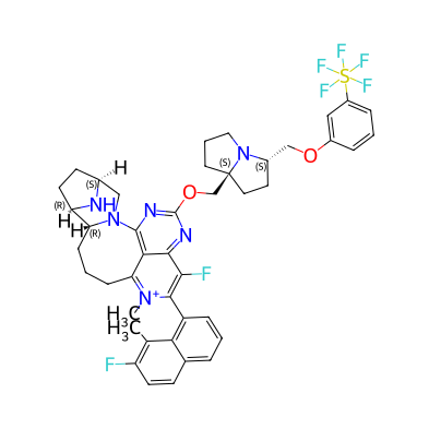 Cc1c(F)ccc2cccc(-c3c(F)c4nc(OC[C@@]56CCCN5[C@H](COc5cccc(S(F)(F)(F)(F)F)c5)CC6)nc5c4c([n+]3C)CCC[C@@H]3[C@H]4CC[C@@H](CN53)N4)c12